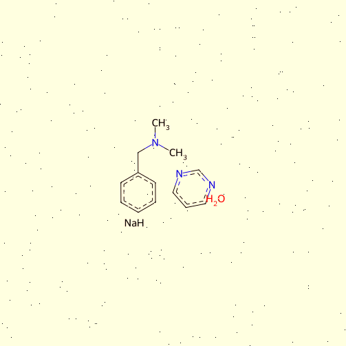 CN(C)Cc1ccccc1.O.[NaH].c1cncnc1